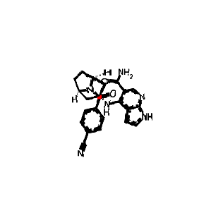 N#Cc1ccc(C(=O)N2[C@@H]3CC[C@H]2C[C@H](Nc2c(C(N)=O)cnc4[nH]ccc24)C3)cc1